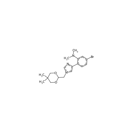 CN(C)c1cc(Br)ccc1-c1cn(CC2OCC(C)(C)CO2)cn1